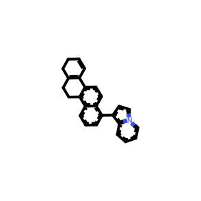 C1=CC2=C(CC1)CCc1c2ccc2c(-c3ccn4ccccc34)cccc12